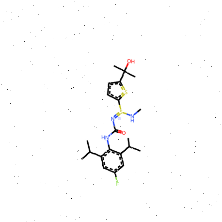 CN/S(=N\C(=O)Nc1c(C(C)C)cc(F)cc1C(C)C)c1ccc(C(C)(C)O)s1